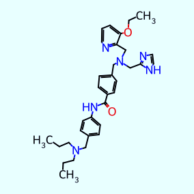 CCCN(CCC)Cc1ccc(NC(=O)c2ccc(CN(Cc3ncc[nH]3)Cc3ncccc3OCC)cc2)cc1